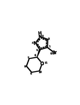 Brc1c[nH]nc1[C@@H]1CCCCO1